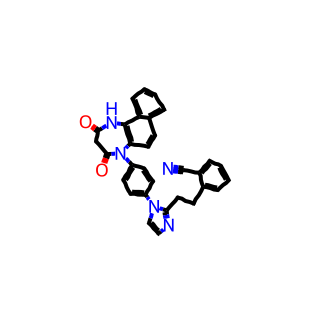 N#Cc1ccccc1CCc1nccn1-c1ccc(N2C(=O)CC(=O)Nc3c2ccc2ccccc32)cc1